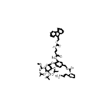 COC(=O)[C@H]1OC(Oc2ccc(COC(=O)N3CCCC3CCP)cc2NC(=O)CCNC(=O)OCC2c3ccccc3-c3ccccc32)[C@H](OC(C)=O)[C@@H](OC(C)=O)[C@@H]1OC(C)=O